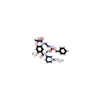 CC(C)N(C(=O)c1cc2c(cc1C(F)(F)F)O[C@@](C)(C(F)(F)F)C(=O)N2CCNC(=O)OCc1ccccc1)C1CCCN(C(=O)O)C1